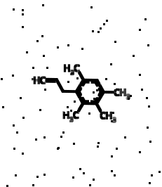 [CH]=CCc1c(C)cc(C)c(C)c1C